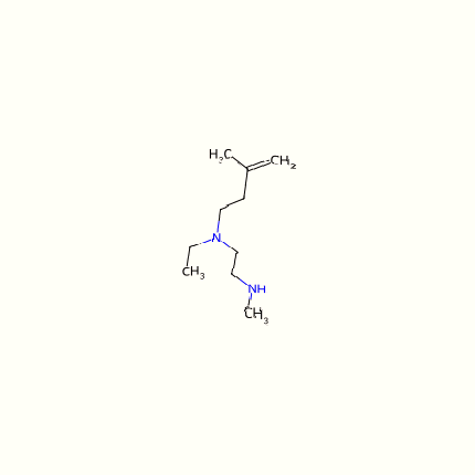 C=C(C)CCN(CC)CCNC